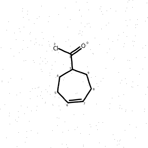 O=C(Cl)C1CCC=CCC1